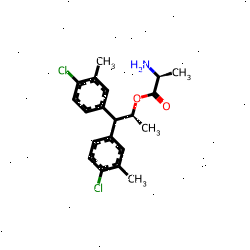 Cc1cc(C(c2ccc(Cl)c(C)c2)[C@H](C)OC(=O)[C@H](C)N)ccc1Cl